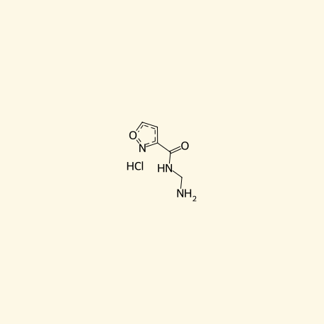 Cl.NCNC(=O)c1ccon1